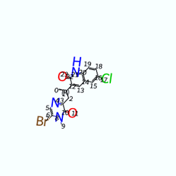 C[C@H](Cc1ncc(Br)n(C)c1=O)c1cc2cc(Cl)ccc2[nH]c1=O